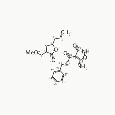 C=CCC1CC(COC)C(=O)O1.Nc1o[nH]c(=O)c1C(=O)OCc1ccccc1